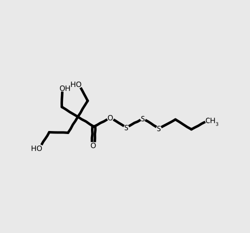 CCCSSSOC(=O)C(CO)(CO)CCO